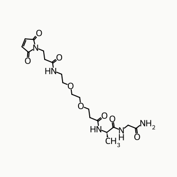 C[C@@H](NC(=O)CCOCCOCCNC(=O)CCN1C(=O)C=CC1=O)C(=O)NCC(N)=O